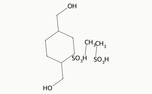 CS(=O)(=O)O.CS(=O)(=O)O.OCC1CCC(CO)CC1